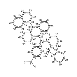 CC(C)c1ccc(N(c2cccc3c2C(C)(C)c2ccccc2-3)c2c3ccccc3c(-c3cccc4ccccc34)c3ccccc23)cc1